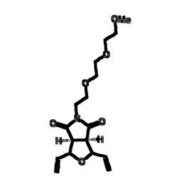 C=CC1OC(C=C)[C@@H]2C(=O)N(CCOCCOCCOC)C(=O)[C@H]12